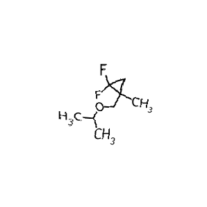 CC(C)OCC1(C)CC1(F)F